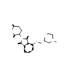 O=C1CCC(N2C(=O)c3cccc(NC[C@@H]4CN(C(=O)O)CCO4)c3C2=O)C(=O)N1